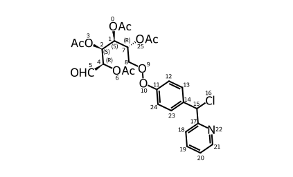 CC(=O)O[C@H]([C@H](OC(C)=O)[C@H](C=O)OC(C)=O)[C@@H](COOc1ccc(C(Cl)c2ccccn2)cc1)OC(C)=O